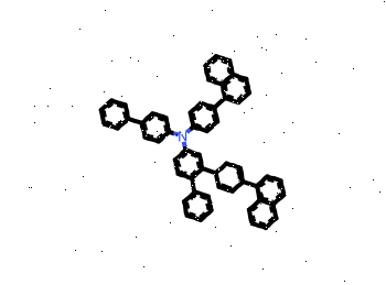 C1=CC(c2cc(N(c3ccc(-c4ccccc4)cc3)c3ccc(-c4cccc5ccccc45)cc3)ccc2-c2ccccc2)CC=C1c1cccc2ccccc12